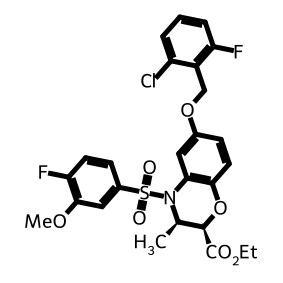 CCOC(=O)[C@@H]1Oc2ccc(OCc3c(F)cccc3Cl)cc2N(S(=O)(=O)c2ccc(F)c(OC)c2)[C@@H]1C